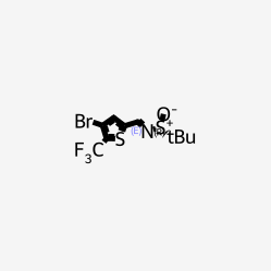 CC(C)(C)[S@+]([O-])/N=C/c1cc(Br)c(C(F)(F)F)s1